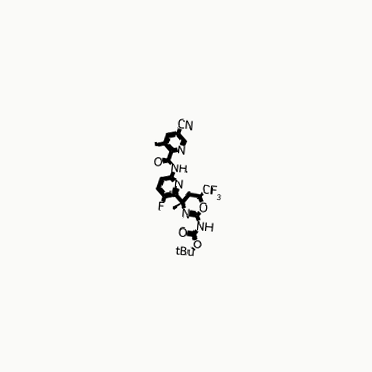 Cc1cc(C#N)cnc1C(=O)Nc1ccc(F)c([C@]2(C)C[C@@H](C(F)(F)F)OC(NC(=O)OC(C)(C)C)=N2)n1